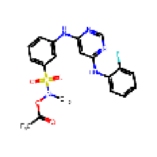 CN(OC(=O)C(F)(F)F)S(=O)(=O)c1cccc(Nc2cc(Nc3ccccc3F)ncn2)c1